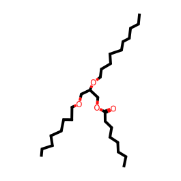 CCCCCCCCCCOC(COCCCCCCCC)COC(=O)CCCCCCC